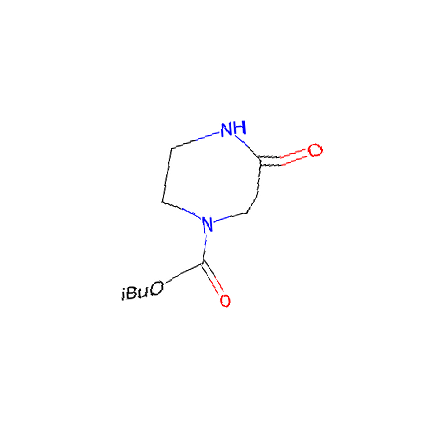 CC(C)COC(=O)N1CCNC(=O)C1